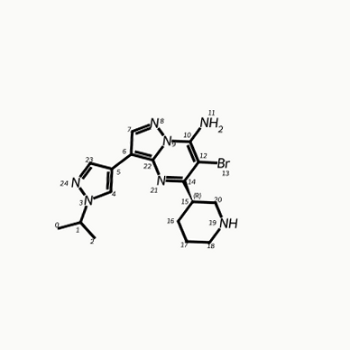 CC(C)n1cc(-c2cnn3c(N)c(Br)c([C@@H]4CCCNC4)nc23)cn1